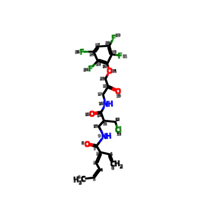 C=C/C(=C\C=C/C)C(=O)NCC(CCl)C(=O)NCC(=O)COc1c(F)c(F)cc(F)c1F